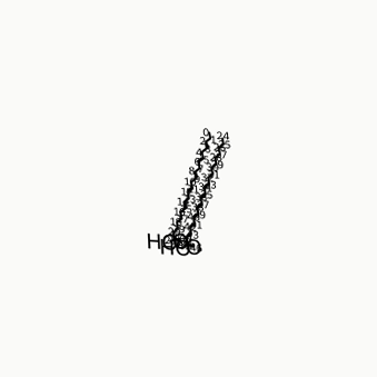 CCC=CCC=CCC=CCC=CCC=CCCCCCC(=O)O.CCCCCCCCCC=CC=CC=CC=CC=CC=CC(=O)O